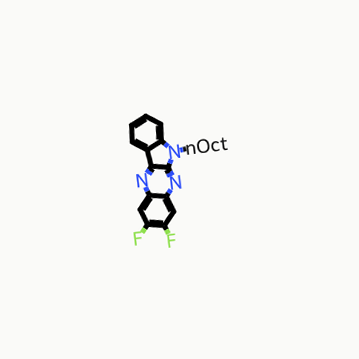 CCCCCCCCn1c2ccccc2c2nc3cc(F)c(F)cc3nc21